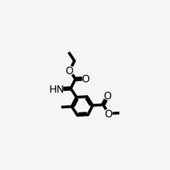 CCOC(=O)C(=N)c1cc(C(=O)OC)ccc1C